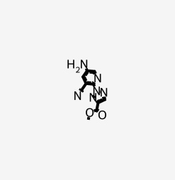 COC(=O)c1cnn(-c2ncc(N)cc2C#N)n1